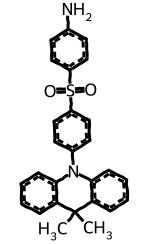 CC1(C)c2ccccc2N(c2ccc(S(=O)(=O)c3ccc(N)cc3)cc2)c2ccccc21